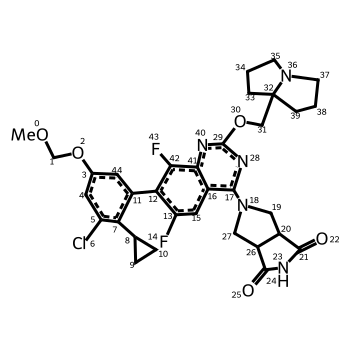 COCOc1cc(Cl)c(C2CC2)c(-c2c(F)cc3c(N4CC5C(=O)NC(=O)C5C4)nc(OCC45CCCN4CCC5)nc3c2F)c1